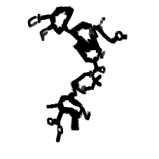 COC[C@@H](C)n1cc(-c2ccc(Cl)c(F)c2)c2ccc(C(=O)N3CCN(c4cc(C)c(C(=O)OC)c(C)n4)CC3(C)C)nc21